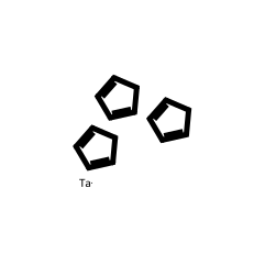 C1=CCC=C1.C1=CCC=C1.C1=CCC=C1.[Ta]